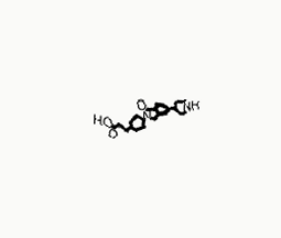 O=C(O)CCC1CCC(N2Cc3cc(C4CCNCC4)ccc3C2=O)CC1